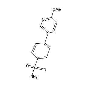 COc1ccc(-c2ccc(S(N)(=O)=O)cc2)cn1